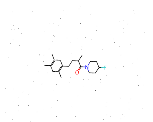 CC1=C(C)CC(CCC(C)C(=O)N2CCC(F)CC2)=C(C)C1